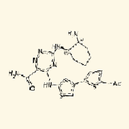 CC(=O)c1ccc(-c2csc(Nc3nc(N[C@@H]4CCCC[C@@H]4N)nnc3C(N)=O)c2)s1